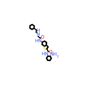 Nc1ccccc1NC(=O)c1cc2ccc(NC(=O)CNCCc3ccccc3)cc2s1